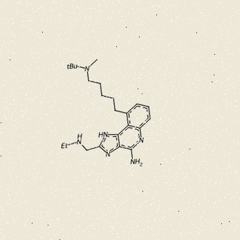 CCNCc1nc2c(N)nc3cccc(CCCCCN(C)C(C)(C)C)c3c2[nH]1